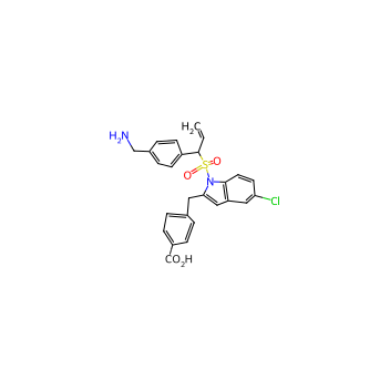 C=CC(c1ccc(CN)cc1)S(=O)(=O)n1c(Cc2ccc(C(=O)O)cc2)cc2cc(Cl)ccc21